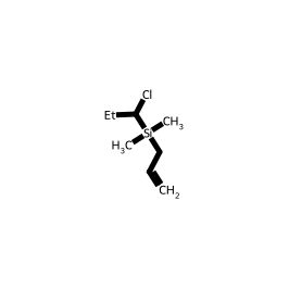 C=CC[Si](C)(C)C(Cl)CC